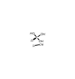 O=P(O)(O)O.[Li][C]#N